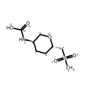 CS(=O)(=O)C[C@@H]1CC[C@@H](NC(=O)O)CO1